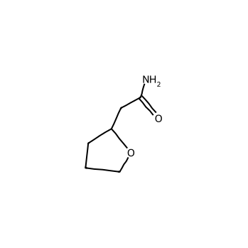 NC(=O)CC1CCCO1